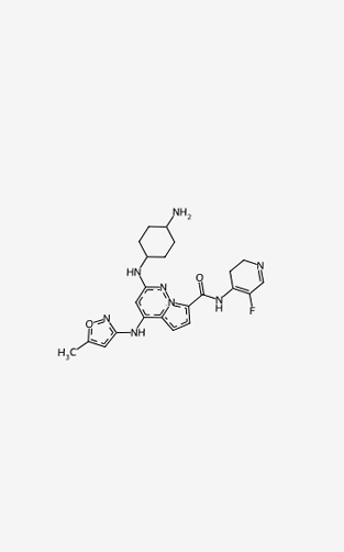 Cc1cc(Nc2cc(NC3CCC(N)CC3)nn3c(C(=O)NC4=C(F)C=NCC4)ccc23)no1